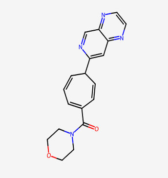 O=C(C1=CC=CC(c2cc3nccnc3cn2)C=C1)N1CCOCC1